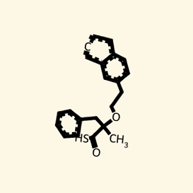 CC(Cc1ccccc1)(OCCc1ccc2ccccc2c1)C(=O)S